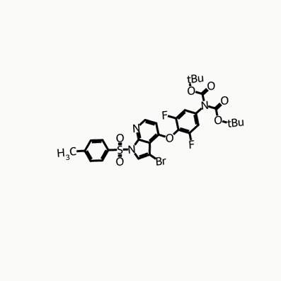 Cc1ccc(S(=O)(=O)n2cc(Br)c3c(Oc4c(F)cc(N(C(=O)OC(C)(C)C)C(=O)OC(C)(C)C)cc4F)ccnc32)cc1